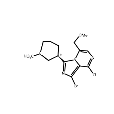 COCc1cnc(Cl)c2c(Br)nc([C@@H]3CCCN(C(=O)O)C3)n12